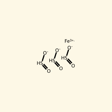 O=[SH][O-].O=[SH][O-].O=[SH][O-].[Fe+3]